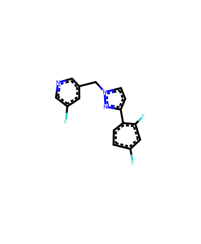 Fc1cncc(Cn2ccc(-c3ccc(F)cc3F)n2)c1